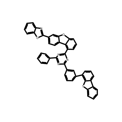 c1ccc(-c2nc(-c3cccc(-c4cccc5c4sc4ccccc45)c3)nc(-c3cccc4oc5cc(-c6nc7ccccc7o6)ccc5c34)n2)cc1